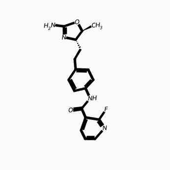 C[C@@H]1OC(N)=N[C@H]1CCc1ccc(NC(=O)c2cccnc2F)cc1